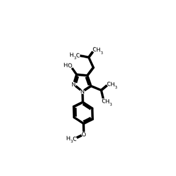 COc1ccc(-n2nc(O)c(CC(C)C)c2C(C)C)cc1